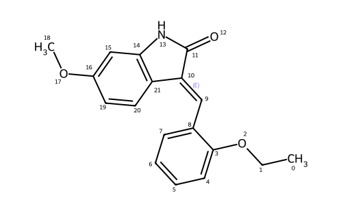 CCOc1ccccc1/C=C1/C(=O)Nc2cc(OC)ccc21